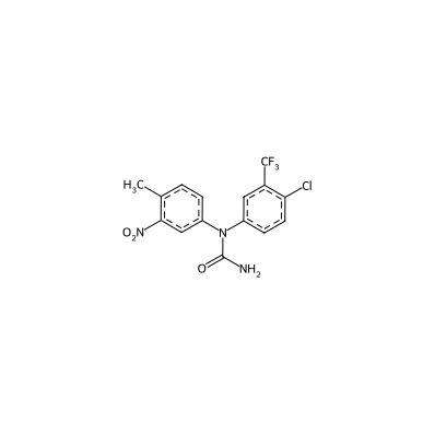 Cc1ccc(N(C(N)=O)c2ccc(Cl)c(C(F)(F)F)c2)cc1[N+](=O)[O-]